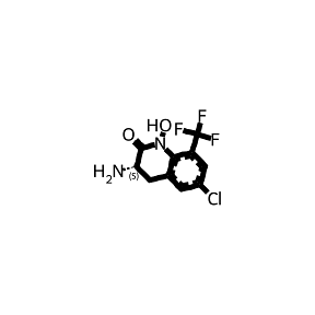 N[C@H]1Cc2cc(Cl)cc(C(F)(F)F)c2N(O)C1=O